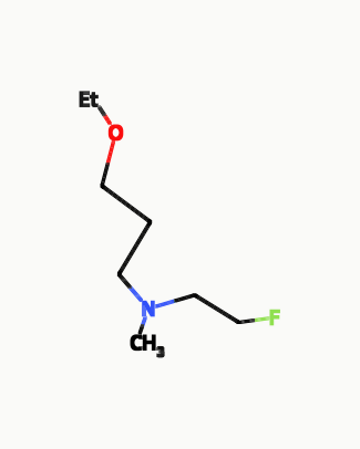 CCOCCCN(C)CCF